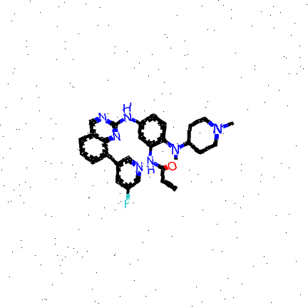 C=CC(=O)Nc1cc(Nc2ncc3cccc(-c4cncc(F)c4)c3n2)ccc1N(C)C1CCN(C)CC1